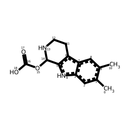 Cc1cc2[nH]c3c(c2cc1C)CCNC3OC(=O)O